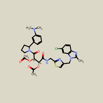 CC(=O)O[C@@H](C(=O)NCc1nc(Cn2c(C)nc3ccc(Cl)cc32)cs1)[C@@H](OC(C)=O)C(=O)N1CCCC1c1cccc(N(C)C)c1